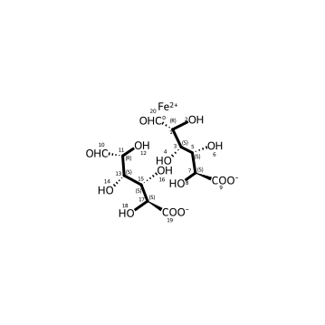 O=C[C@H](O)[C@@H](O)[C@H](O)[C@H](O)C(=O)[O-].O=C[C@H](O)[C@@H](O)[C@H](O)[C@H](O)C(=O)[O-].[Fe+2]